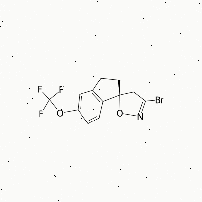 FC(F)(F)Oc1ccc2c(c1)CC[C@]21CC(Br)=NO1